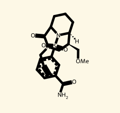 C#CCN1C[C@H](COC)[C@@H]2CCCC(C1=O)N2S(=O)(=O)c1cccc(C(N)=O)c1